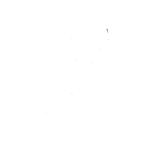 CC(C)(C)OC(=O)N1CCc2c(nc(OC[C@]34CCCN3[C@H](CO[Si](c3ccccc3)(c3ccccc3)C(C)(C)C)CC4)nc2N2CCC[C@@](C)(O)C2)C1